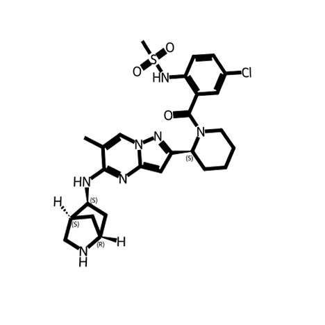 Cc1cn2nc([C@@H]3CCCCN3C(=O)c3cc(Cl)ccc3NS(C)(=O)=O)cc2nc1N[C@H]1C[C@H]2C[C@H]1CN2